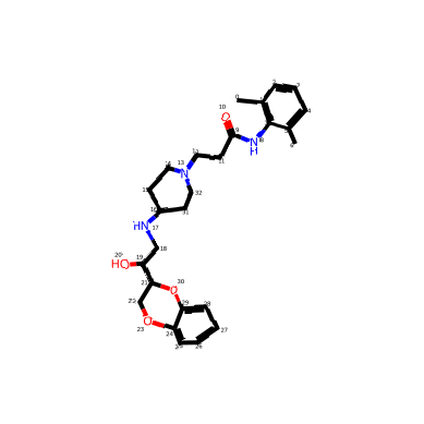 Cc1cccc(C)c1NC(=O)CCN1CCC(NCC(O)C2COc3ccccc3O2)CC1